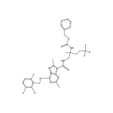 Cc1cc(OCc2c(F)ccc(F)c2F)n2nc(C)c(C(=O)NCC(C)(CCC(F)(F)F)NC(=O)OCc3ccccc3)c2c1